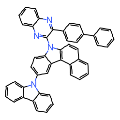 c1ccc(-c2ccc(-c3nc4ccccc4nc3-n3c4ccc(-n5c6ccccc6c6ccccc65)cc4c4c5ccccc5ccc43)cc2)cc1